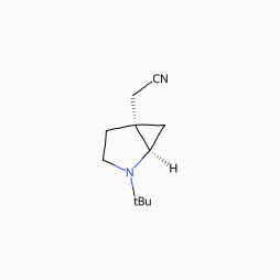 CC(C)(C)N1CC[C@@]2(CC#N)C[C@@H]12